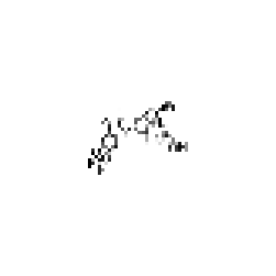 CC(C)c1cc2cc(NC(=O)C3(c4ccc5c(c4)OC(F)(F)O5)CC3)ccc2n1C[C@@H](O)CO